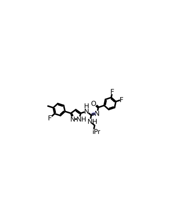 Cc1ccc(-c2cc(N/C(=N\C(=O)c3ccc(F)c(F)c3)NCC(C)C)[nH]n2)cc1F